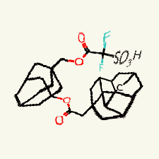 O=C(CC12CC3C4CC5CC3C(C1)C(C5)C4C2)OC12CC3CC(CC(COC(=O)C(F)(F)S(=O)(=O)O)(C3)C1)C2